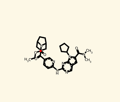 CCOC(=O)N1C2CCC1CN(C(=O)c1ccc(Nc3ncc4cc(C(=O)N(C)C)n(C5CCCC5)c4n3)nc1)C2